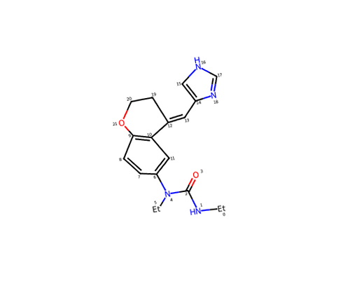 CCNC(=O)N(CC)c1ccc2c(c1)/C(=C/c1c[nH]cn1)CCO2